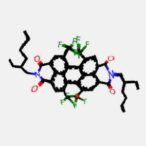 CCCCC(CC)CN1C(=O)c2cc(C(F)(F)F)c3c4c(C(F)(F)F)cc5c6c(cc(C(F)(F)F)c(c7c(C(F)(F)F)cc(c2c37)C1=O)c64)C(=O)N(CC(CC)CCCC)C5=O